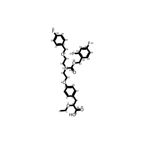 CCOC(Cc1ccc(OCCN(CCOCc2ccc(F)cc2)C(=O)OCc2ccc(F)cc2F)cc1)C(=O)O